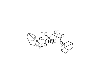 CCC(CC(C)(C(=O)OC12CC3CC(CC(C3)C1)C2)C(F)(F)F)(C(=O)OC1(C)C2CC3CC(C2)CC1C3)C(F)(F)F